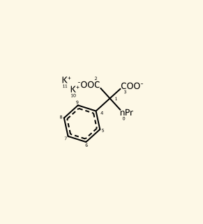 CCCC(C(=O)[O-])(C(=O)[O-])c1ccccc1.[K+].[K+]